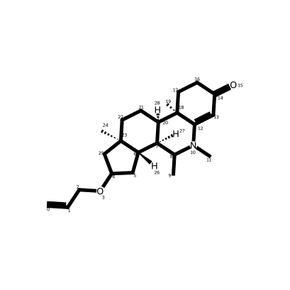 C=CCOC1C[C@H]2[C@@H]3C(C)N(C)C4=CC(=O)CC[C@]4(C)[C@@H]3CC[C@]2(C)C1